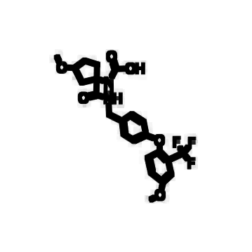 COc1ccc(Oc2ccc(CNC(=O)C3(NC(=O)O)CCC(OC)C3)cc2)c(C(F)(F)F)c1